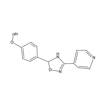 CCCOc1ccc(C2NC(c3ccncc3)=NO2)cc1